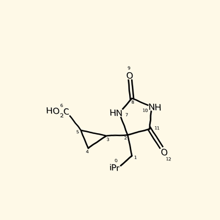 CC(C)CC1(C2CC2C(=O)O)NC(=O)NC1=O